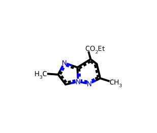 CCOC(=O)c1cc(C)nn2cc(C)nc12